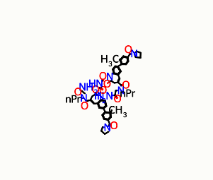 CCCN(CC(N)=O)C(=O)C1=Cc2cc(-c3ccc(C(=O)N4CCCC4)cc3C)ccc2N=C(OC(=O)NC(=O)OC2=Nc3ccc(-c4ccc(C(=O)N5CCCC5)cc4C)cc3C=C(C(=O)N(CCC)CC(N)=O)C2)C1